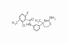 Cc1ccc(F)c(C(=O)Nc2cccc(C3(C)CCSC(N)=N3)c2)c1Cl